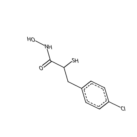 O=C(NO)C(S)Cc1ccc(Cl)cc1